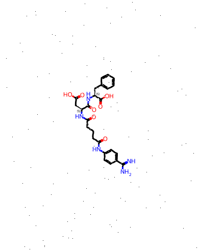 N=C(N)c1ccc(NC(=O)CCCC(=O)N[C@@H](CC(=O)O)C(=O)N[C@@H](Cc2ccccc2)C(=O)O)cc1